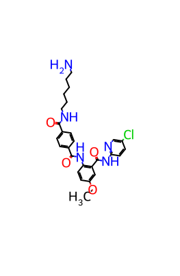 COc1ccc(NC(=O)c2ccc(C(=O)NCCCCCCN)cc2)c(C(=O)Nc2ccc(Cl)cn2)c1